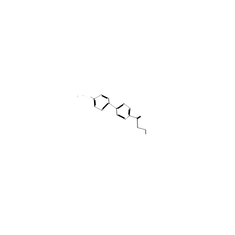 CCCCCc1ccc(-c2ccc(C(=O)CCC(=O)OCC)cc2)cc1